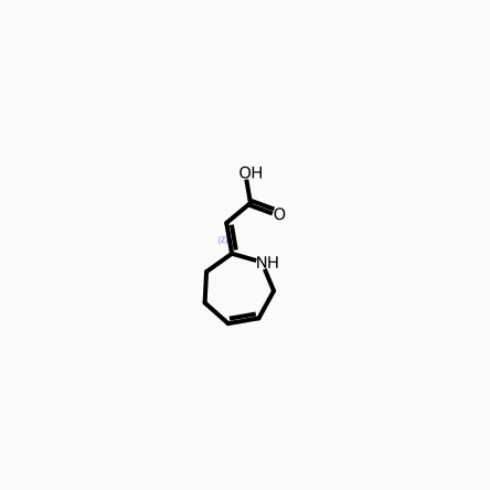 O=C(O)/C=C1/CCC=CCN1